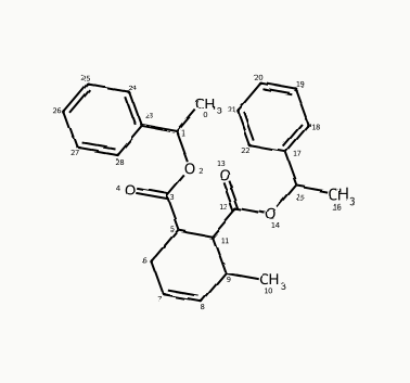 CC(OC(=O)C1CC=CC(C)C1C(=O)OC(C)c1ccccc1)c1ccccc1